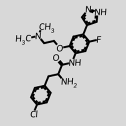 CN(C)CCOc1cc(-c2cn[nH]c2)c(F)cc1NC(=O)C(N)Cc1ccc(Cl)cc1